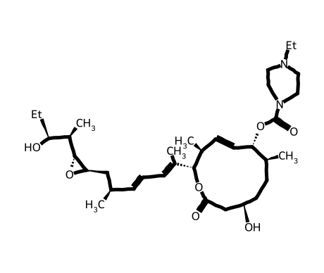 CC[C@H](O)[C@@H](C)[C@H]1O[C@@H]1C[C@H](C)/C=C/C=C(\C)[C@H]1OC(=O)C[C@H](O)CC[C@H](C)[C@@H](OC(=O)N2CCN(CC)CC2)/C=C/[C@@H]1C